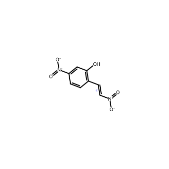 O=[N+]([O-])/C=C/c1ccc([N+](=O)[O-])cc1O